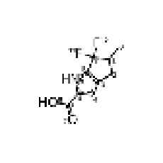 CC1Cc2cc(C(=O)O)[nH]c2C1(F)F